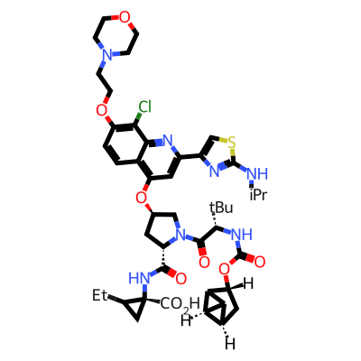 CCC1C[C@]1(NC(=O)[C@@H]1C[C@@H](Oc2cc(-c3csc(NC(C)C)n3)nc3c(Cl)c(OCCN4CCOCC4)ccc23)CN1C(=O)[C@@H](NC(=O)O[C@@H]1C[C@@H]2C3C1[C@@H]32)C(C)(C)C)C(=O)O